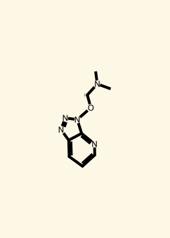 CN(C)[C]On1nnc2cccnc21